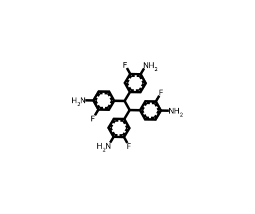 Nc1ccc(C(c2ccc(N)c(F)c2)C(c2ccc(N)c(F)c2)c2ccc(N)c(F)c2)cc1F